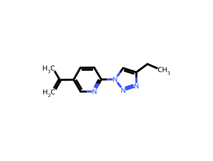 C=C(C)c1ccc(-n2cc(CC)nn2)nc1